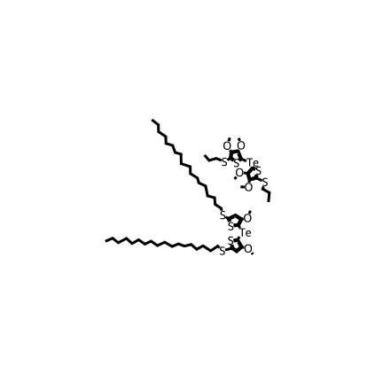 CCCCCCCCCCCCCCCCCCSc1cc(OC)c([Te]c2sc(SCCCCCCCCCCCCCCCCCC)cc2OC)s1.CCCSc1sc([Te]c2sc(SCCC)c(OC)c2OC)c(OC)c1OC